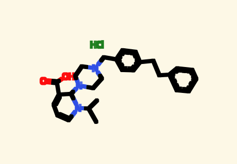 CC(C)N1C=CC=C(C(=O)O)C1N1CCN(Cc2ccc(CCc3ccccc3)cc2)CC1.Cl